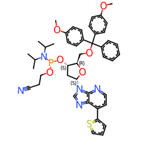 COc1ccc(C(OC[C@H]2O[C@H](n3cnc4c(-c5cccs5)ccnc43)C[C@@H]2OP(OCCC#N)N(C(C)C)C(C)C)(c2ccccc2)c2ccc(OC)cc2)cc1